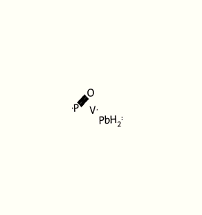 O=[P].[PbH2].[V]